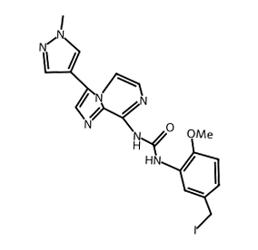 COc1ccc(CI)cc1NC(=O)Nc1nccn2c(-c3cnn(C)c3)cnc12